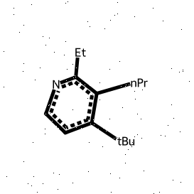 CCCc1c(C(C)(C)C)ccnc1CC